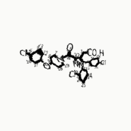 O=C(O)Cc1c(C(=O)N2CCC(Oc3ccc(Cl)cc3)CC2)nn(-c2ccccc2Cl)c1-c1ccc(Cl)cc1